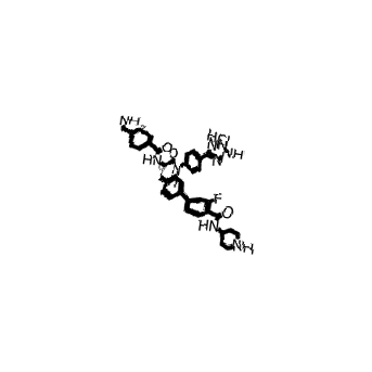 Cl.NCC1CCC(C(=O)N[C@@H](Cc2ccc(-c3ccc(C(=O)NC4CCNCC4)c(F)c3)cc2)C(=O)Nc2ccc(-c3nn[nH]n3)cc2)CC1